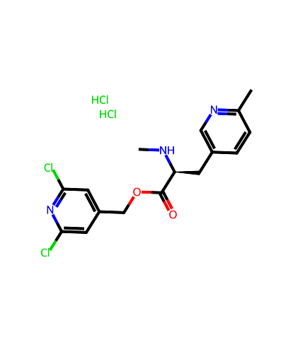 CN[C@@H](Cc1ccc(C)nc1)C(=O)OCc1cc(Cl)nc(Cl)c1.Cl.Cl